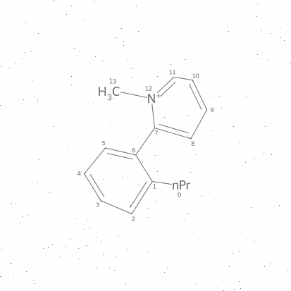 CCCc1ccccc1-c1cccc[n+]1C